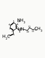 C=Cc1ccccc1CNCCCC.N